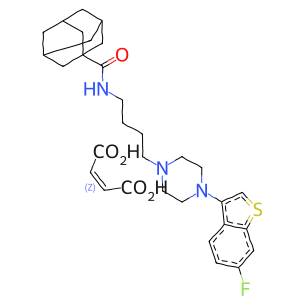 O=C(NCCCCN1CCN(c2csc3cc(F)ccc23)CC1)C12CC3CC(CC(C3)C1)C2.O=C(O)/C=C\C(=O)O